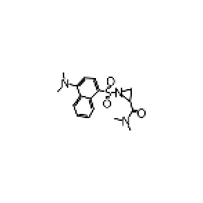 CN(C)C(=O)C1CN1S(=O)(=O)c1ccc(N(C)C)c2ccccc12